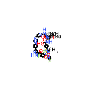 Cc1ncsc1-c1ccc(C(CO)NC(=O)[C@@H]2C[C@@H](O[Si](C)(C)C(C)(C)C)CN2C(=O)C(NC(=O)CN2CCC(CN3CCN(c4ccc(-c5cnc6[nH]cc(C(=O)c7c(F)ccc(NS(=O)(=O)N8CC[C@@H](F)C8)c7F)c6c5)cc4)CC3)CC2)C(C)(C)C)cc1